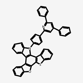 c1ccc(-c2cc(-c3ccccc3)nc(-c3ccc(-n4c5ccccc5c5c6c7ccccc7oc6c6sc7ccccc7c6c54)cc3)c2)cc1